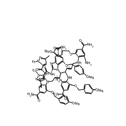 CCn1nc(C)cc1C(=O)Nc1nc2cc(C(N)=O)cc(OCc3ccc(OC)cc3)c2n1C/C=C/C(C(/C=C/CNc1c(N)cc(C(N)=O)cc1OCc1ccc(OC)cc1)Nc1c(N)cc(C(N)=O)cc1OCc1ccc(OC)cc1)n1c(NC(=O)c2cc(C)nn2CC)nc2cc(C(N)=O)cc(OCc3ccc(OC)cc3)c21